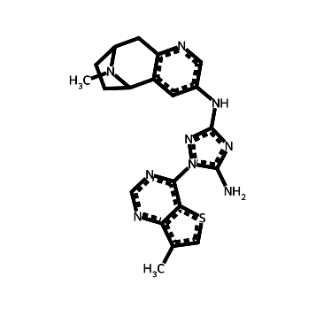 Cc1csc2c(-n3nc(Nc4cnc5c(c4)C4CCC(C5)N4C)nc3N)ncnc12